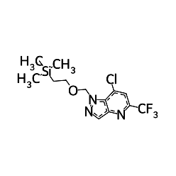 C[Si](C)(C)CCOCn1ncc2nc(C(F)(F)F)cc(Cl)c21